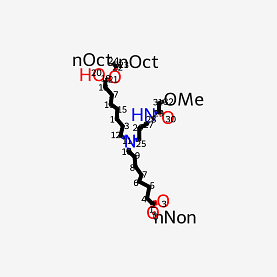 CCCCCCCCCOC(=O)CCCCCCCN(CCCCCCCC(O)OC(CCCCCCCC)CCCCCCCC)CCCNC(=O)COC